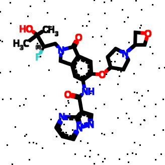 CC(C)(O)[C@H](F)CN1Cc2cc(NC(=O)c3cnn4cccnc34)c(OC3CCN(C4COC4)CC3)cc2C1=O